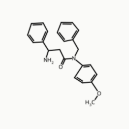 COc1ccc(N(Cc2ccccc2)C(=O)CC(N)c2ccccc2)cc1